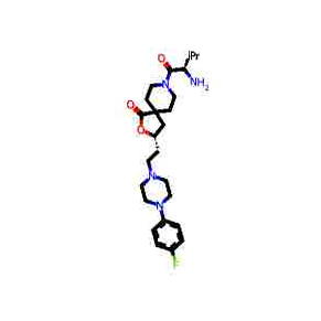 CC(C)[C@@H](N)C(=O)N1CCC2(CC1)C[C@H](CCN1CCN(c3ccc(F)cc3)CC1)OC2=O